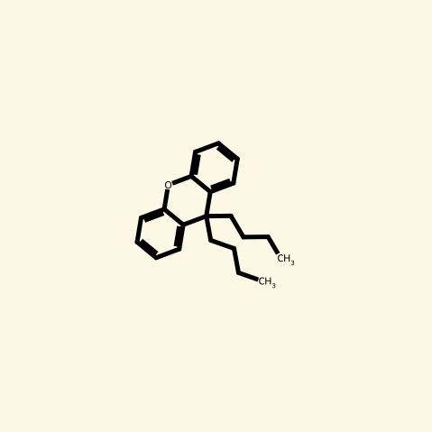 CCCCC1(CCCC)c2ccccc2Oc2ccccc21